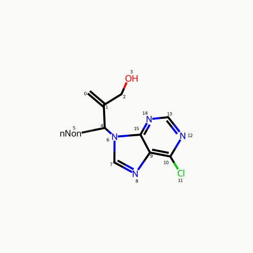 C=C(CO)C(CCCCCCCCC)n1cnc2c(Cl)ncnc21